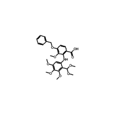 COc1cc(Nc2c(C(=O)O)ccc(OCc3ccccc3)c2OC)c(C(OC)OC)c(OC)c1OC